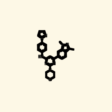 Cc1nn(C)c2cc(-c3cc(Nc4ccc(-n5cccn5)cc4)nc(N4CCOCC4)n3)ccc12